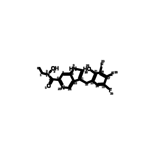 CCN(O)C(=O)c1cc2[nH]cc(Cc3cc(F)c(F)c(F)c3O)c2cn1